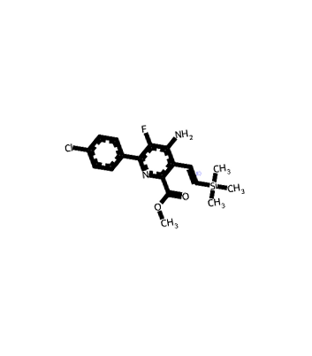 COC(=O)c1nc(-c2ccc(Cl)cc2)c(F)c(N)c1/C=C/[Si](C)(C)C